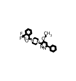 CCOc1cc(-c2ccccc2)nnc1N1CCN(C(=O)c2ccccc2C(F)(F)F)CC1